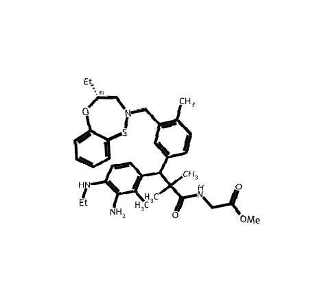 CCNc1ccc(C(c2ccc(C)c(CN3C[C@@H](CC)Oc4ccccc4S3)c2)C(C)(C)C(=O)NCC(=O)OC)c(C)c1N